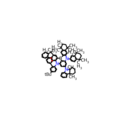 CC(C)(C)c1ccc(N2c3cc4c(cc3B3c5cc6c(cc5N(c5ccc7c(c5)C(C)(C)CCC7(C)C)c5cc(N7c8ccccc8C8(C)CCCCC78C)cc2c53)C(C)(C)CCC6(C)C)C(C)(C)c2ccccc2-4)c(-c2ccccc2)c1